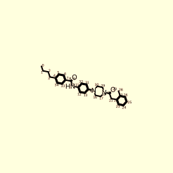 CCCCc1ccc(C(=O)Nc2ccc(N3CCN(C(=O)Cc4ccccc4C)CC3)cc2)cc1